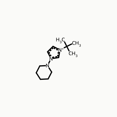 CC(C)(C)[n+]1ccn(N2CCCCC2)c1